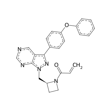 C=CC(=O)N1CC[C@H]1Cn1nc(-c2ccc(Oc3ccccc3)cc2)c2cncnc21